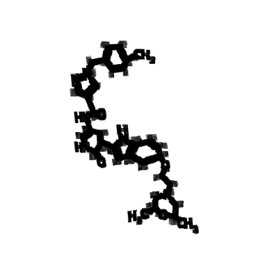 Cc1ccc(Cn2cc(C(=O)Nc3c[nH]c(=O)c(-c4cc5cc(OCCN6CC(C)OC(C)C6)ccc5[nH]4)c3)cn2)cc1